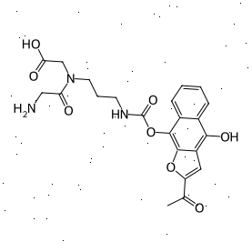 CC(=O)c1cc2c(O)c3ccccc3c(OC(=O)NCCCN(CC(=O)O)C(=O)CN)c2o1